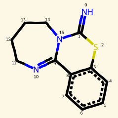 N=C1Sc2ccccc2C2=NCCCCN12